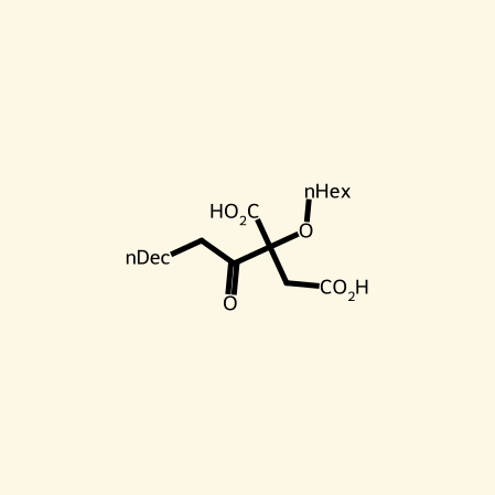 CCCCCCCCCCCC(=O)C(CC(=O)O)(OCCCCCC)C(=O)O